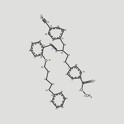 COC(=O)c1ccc(CCC(/C=C/c2ccccc2OCCCCCc2ccccc2)Cc2ccc(C#N)cc2)cc1